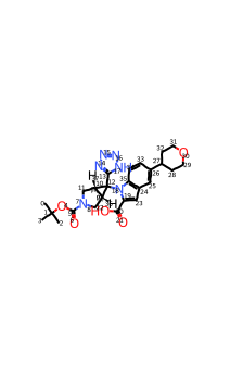 CC(C)(C)OC(=O)N1C[C@@H]2[C@H](C1)C2(c1nnn[nH]1)n1c(C(=O)O)cc2cc(C3CCOCC3)ccc21